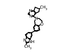 Cc1nc2ccc(-c3ccc4c(c3)CN(c3ncnc5c3CC(C)C5)CCO4)cc2[nH]1